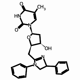 Cc1cn([C@H]2C[C@H](O)[C@@H](CC3=NC(c4ccccc4)CN3c3ccccc3)O2)c(=O)[nH]c1=O